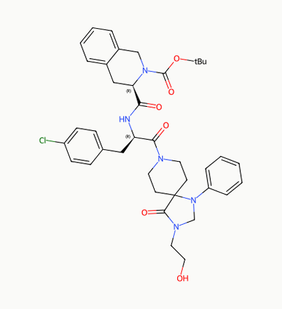 CC(C)(C)OC(=O)N1Cc2ccccc2C[C@@H]1C(=O)N[C@H](Cc1ccc(Cl)cc1)C(=O)N1CCC2(CC1)C(=O)N(CCO)CN2c1ccccc1